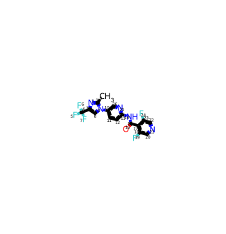 Cc1nc(C(F)(F)F)cn1-c1ccc(NC(=O)c2c(F)cncc2F)nc1